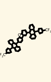 FC(F)(F)c1ccc(-c2c3ccccc3c(-c3ccc4c(c3)oc3ccc(-c5c6ccccc6c(-c6ccc(C(F)(F)F)cc6)c6ccccc56)cc34)c3ccccc23)cc1